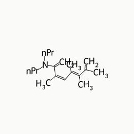 C=C(C)/C(C)=C(C)/C=C(/C)C(=C)N(CCC)CCC